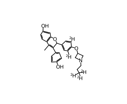 [2H]c1cc(C2Oc3cc(O)ccc3C(C)=C2c2ccc(O)cc2)cc([2H])c1OC1CN(CCC([2H])([2H])[2H])C1